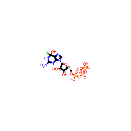 NC1=Nc2c(ncn2[C@@H]2O[C@H](COP(=O)(O)OP(=O)(O)OP(=O)(O)O)[C@@H](O)[C@H]2O)C(O)(Cl)N1